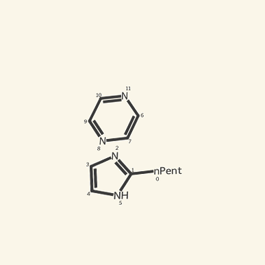 CCCCCc1ncc[nH]1.c1cnccn1